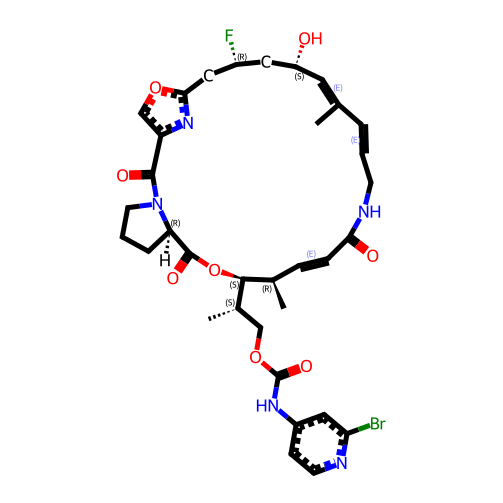 CC1=C\[C@@H](O)C[C@@H](F)Cc2nc(co2)C(=O)N2CCC[C@@H]2C(=O)O[C@H]([C@@H](C)COC(=O)Nc2ccnc(Br)c2)[C@H](C)/C=C/C(=O)NC\C=C\1